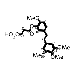 COc1ccc(CCc2cc(OC)c(OC)c(OC)c2)cc1OC(=O)CCC(=O)O